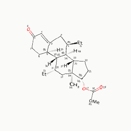 CC[C@@H]1CC2=CC(=O)CC[C@@H]2[C@H]2[C@@H](CC)C[C@]3(C)[C@@H](OC(=O)OC)CC[C@H]3[C@H]12